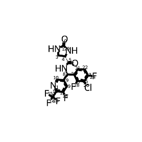 O=C1NC[C@@H](C(=O)N[C@H](c2cnc(C(F)(F)F)c(F)c2)c2ccc(F)c(Cl)c2F)N1